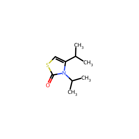 CC(C)c1csc(=O)n1C(C)C